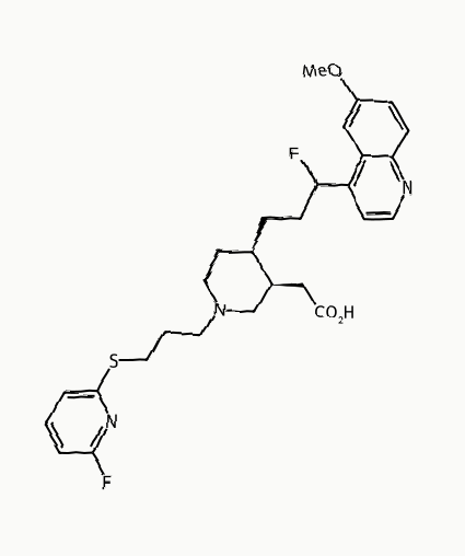 COc1ccc2nccc(C(F)CC[C@@H]3CCN(CCCSc4cccc(F)n4)C[C@@H]3CC(=O)O)c2c1